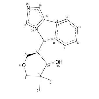 CC1(C)COC[C@@H]([C@H]2c3ccccc3-c3cncn32)[C@@H]1O